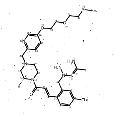 C/C(N)=N/N(N)Cc1cc(Cl)ccc1/C=C/C(=O)N1CCN(Cc2ccc(OCCOCCSF)cn2)C[C@H]1C